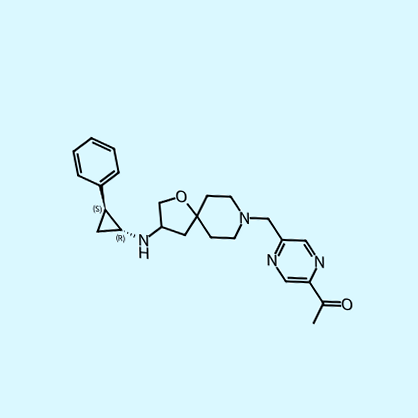 CC(=O)c1cnc(CN2CCC3(CC2)CC(N[C@@H]2C[C@H]2c2ccccc2)CO3)cn1